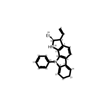 C=CC1c2ccc3c4c(n(-c5ccccc5)c3c2N[C@H]1CC)=CCCC=4